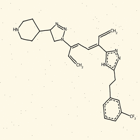 C=C/C(=C\C=C(/C=C)N1CC(C2CCNCC2)N=N1)c1nnc(CCc2cccc(C(F)(F)F)c2)[nH]1